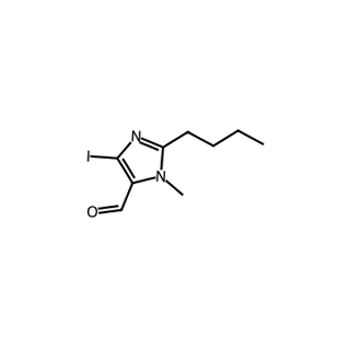 CCCCc1nc(I)c(C=O)n1C